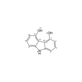 Oc1cccc2[nH]c3cccc(O)c3c12